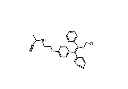 C#CC(C)NCCOc1ccc(C(=C(CCCl)c2ccccc2)c2ccccc2)cc1